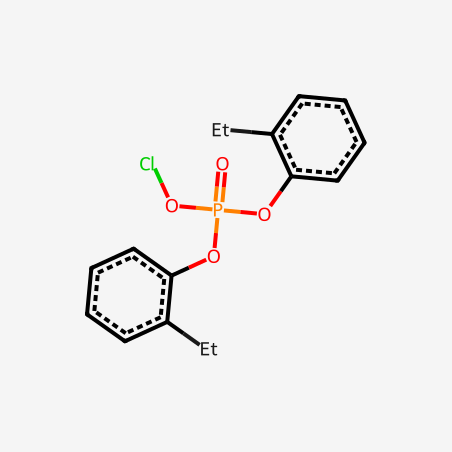 CCc1ccccc1OP(=O)(OCl)Oc1ccccc1CC